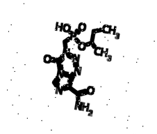 CCC(C)OP(=O)(O)Cn1nnc2c(C(N)=O)ncn2c1=O